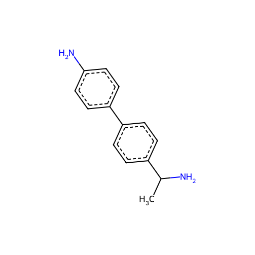 CC(N)c1ccc(-c2ccc(N)cc2)cc1